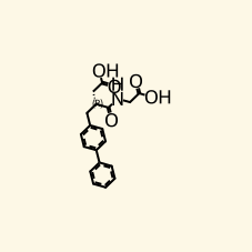 O=C(O)CNC(=O)[C@@H](CC(=O)O)Cc1ccc(-c2ccccc2)cc1